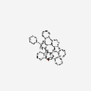 c1ccc(-c2nc3ccccc3nc2-n2c3ccccc3c3ccc4c5ccccc5n5c(-c6ccccc6)nc(-c6ccccc6)c5c4c32)cc1